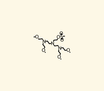 COCCN(CCOC)CCN(CCOS(C)(=O)=O)CCN(CCOC)CCOC